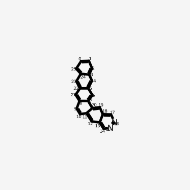 c1ccc2cc3cc4c(ccc5cc6cnncc6cc54)cc3cc2c1